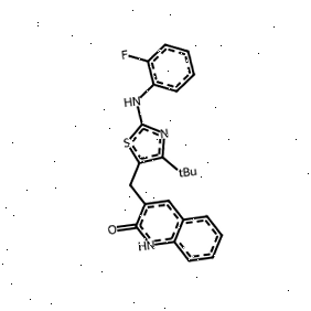 CC(C)(C)c1nc(Nc2ccccc2F)sc1Cc1cc2ccccc2[nH]c1=O